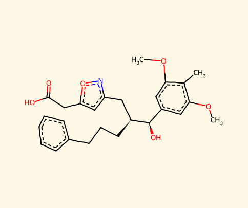 COc1cc([C@@H](O)[C@@H](CCCc2ccccc2)Cc2cc(CC(=O)O)on2)cc(OC)c1C